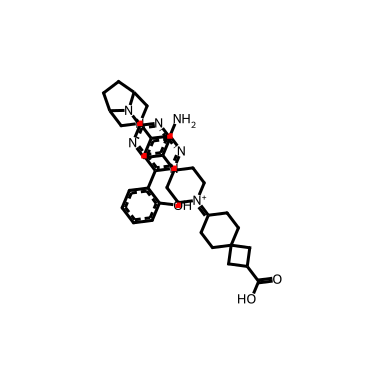 Nc1nnc(-c2ccccc2O)cc1N1CC2CCC(C1)N2c1ncc(C2CC[N+](=C3CCC4(CC3)CC(C(=O)O)C4)CC2)cn1